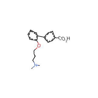 CN(C)CCCOc1ccccc1-c1ccc(C(=O)O)cc1